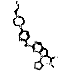 CNC(=O)c1cc2cnc(Nc3ccc(N4CCN(CCF)CC4)cn3)nc2n1C1CCCC1